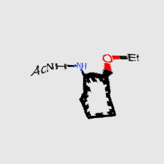 CCOc1ccccc1NNC(C)=O